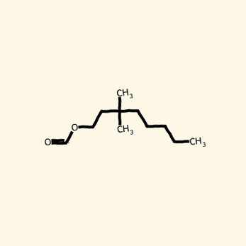 CCCCCC(C)(C)CCO[C]=O